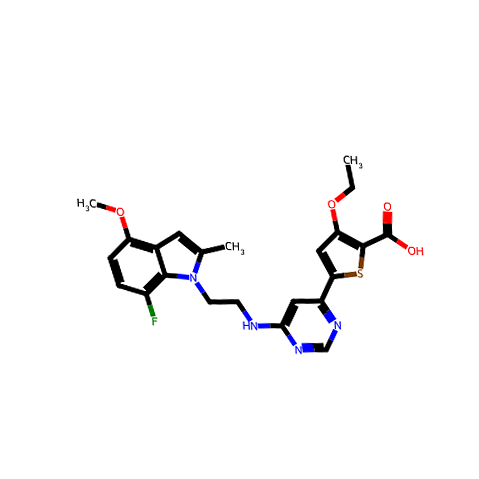 CCOc1cc(-c2cc(NCCn3c(C)cc4c(OC)ccc(F)c43)ncn2)sc1C(=O)O